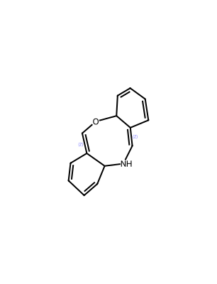 C1=C/C2=C/OC3C=CC=C/C3=C/NC2C=C1